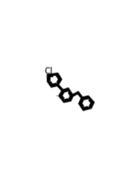 Clc1ccc(-c2[c]ccc(Cc3ccccc3)c2)cc1